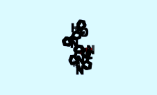 N#Cc1cc(C2=C(N3c4ccccc4C4C=CC=CC43)[C@@H](C#N)CC=C2)cc(-n2c3c(c4ccccc42)CC2C(C3)OC3C=CC=C[C@H]32)c1